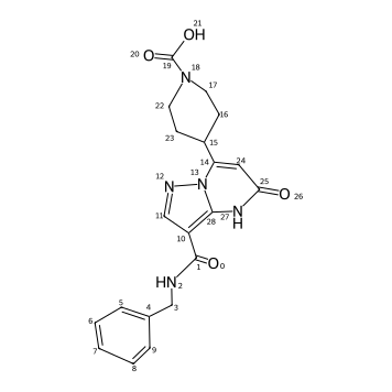 O=C(NCc1ccccc1)c1cnn2c(C3CCN(C(=O)O)CC3)cc(=O)[nH]c12